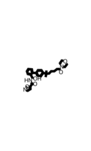 CC(C)(CCCCC(=O)N1CCOCC1)c1ccc(-c2ccccc2CNC(=O)c2ccno2)c(O)c1